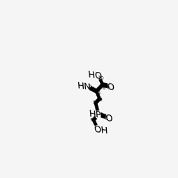 N=C(CC[PH](=O)CO)C(=O)O